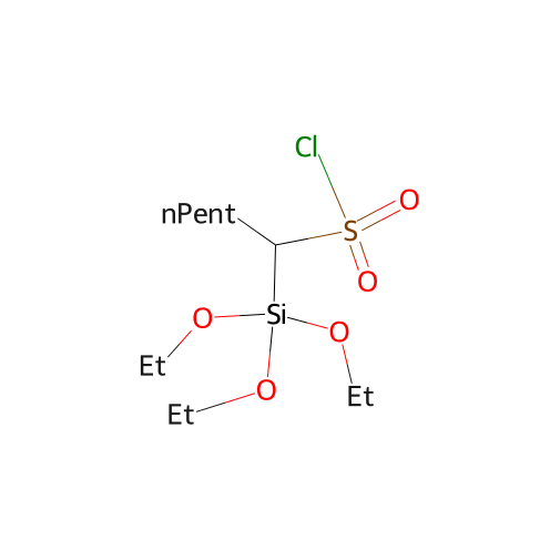 CCCCCC([Si](OCC)(OCC)OCC)S(=O)(=O)Cl